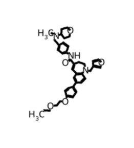 CCCOCCOc1ccc(-c2ccc3c(c2)C=C(C(=O)Nc2ccc(CN(C)C4CCOCC4)cc2)CCN3Cc2ccoc2)cc1